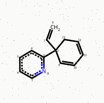 C=CC1(c2ccccn2)C=CC=CC1